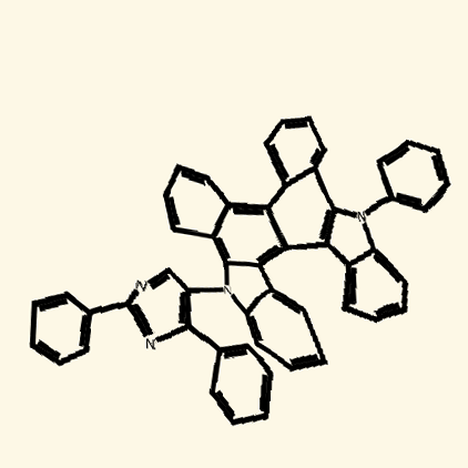 c1ccc(-c2ncc(-n3c4ccccc4c4c5c(c6ccccc6c6c5c5ccccc5n6-c5ccccc5)c5ccccc5c43)c(-c3ccccc3)n2)cc1